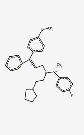 C[C@H](c1ccc(F)cc1)N(C/C=C(/c1ccccc1)c1ccc(OC(F)(F)F)cc1)CCN1CCCC1